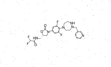 O=C(NC[C@H]1CN(c2cc(F)c(N3CCNN(Cc4cccnc4)CC3)c(F)c2)C(=O)O1)C(F)F